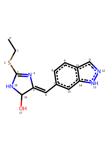 CCSC1=N/C(=C\c2ccc3cn[nH]c3c2)C(O)N1